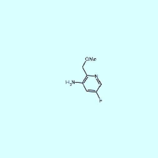 COCc1ncc(F)cc1N